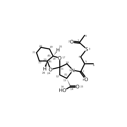 CC(=O)SCC(C)C(=O)N1CC2(C[C@H]1C(=O)O)O[C@@H]1CCCC[C@H]1O2